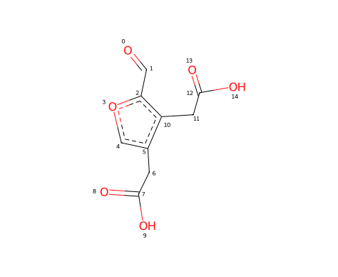 O=Cc1occ(CC(=O)O)c1CC(=O)O